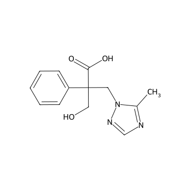 Cc1ncnn1CC(CO)(C(=O)O)c1ccccc1